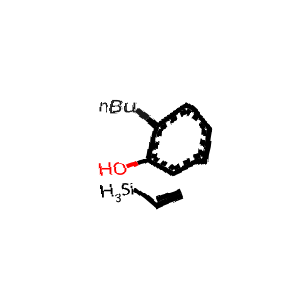 C=C[SiH3].CCCCc1ccccc1O